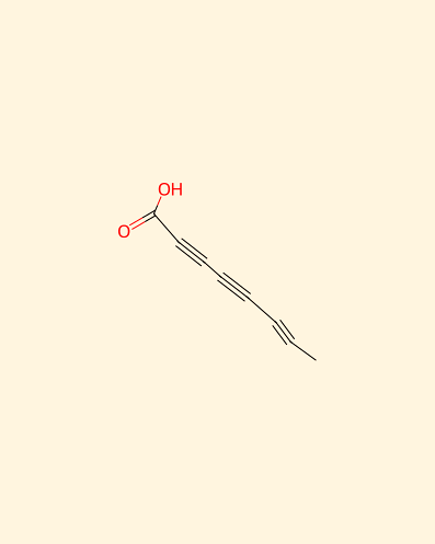 CC#CC#CC#CC(=O)O